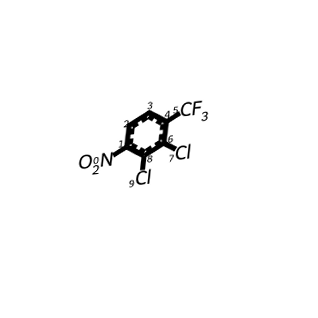 O=[N+]([O-])c1ccc(C(F)(F)F)c(Cl)c1Cl